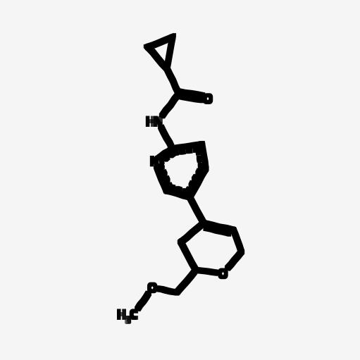 COCC1CC(c2ccc(NC(=O)C3CC3)nc2)=CCO1